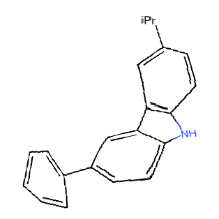 CC(C)c1ccc2[nH]c3ccc(-c4ccccc4)cc3c2c1